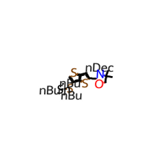 CCCCCCCCCCc1c(C2=NC(C)(C)CO2)sc2c([S][Sn]([CH2]CCC)([CH2]CCC)[CH2]CCC)csc12